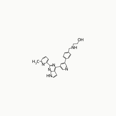 Cc1cccc(-c2nc(-c3cncc(-c4ccc(CNCCO)cc4)c3)c3cc[nH]c3n2)n1